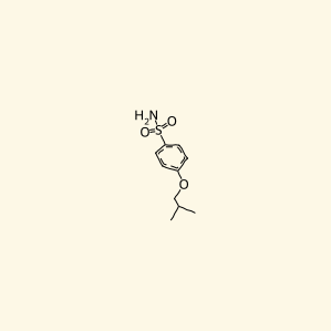 CC(C)COc1ccc(S(N)(=O)=O)cc1